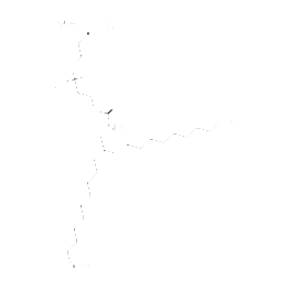 CCCCCCCCCCCCCCCCCCCC(CNC(=O)OCCC(C)(C)OCCC(C)(C)OC)OCCCCCCCCCCCCCCCCCC